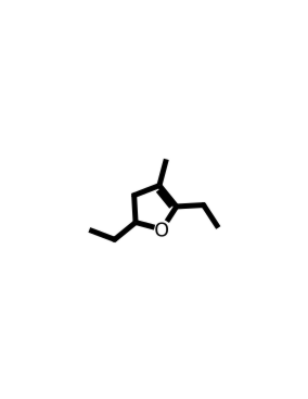 CCC1=C(C)CC(CC)O1